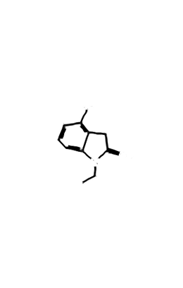 CCN1C(=O)Cc2c(Br)cccc21